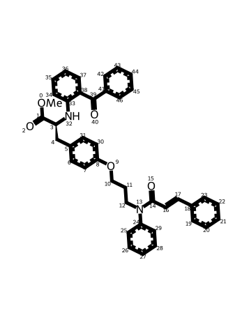 COC(=O)[C@H](Cc1ccc(OCCCN(C(=O)C=Cc2ccccc2)c2ccccc2)cc1)Nc1ccccc1C(=O)c1ccccc1